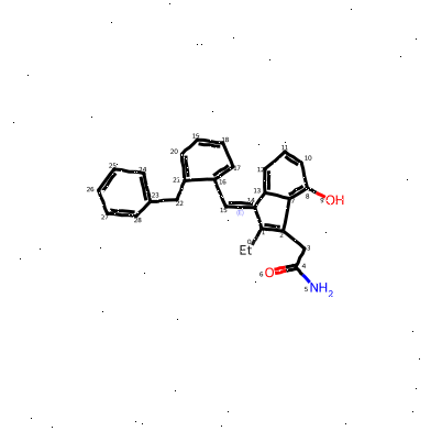 CCC1=C(CC(N)=O)c2c(O)cccc2/C1=C\c1ccccc1Cc1ccccc1